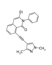 CCc1cc2cccc(C#Cc3cn(C)nc3C)c2c(=O)n1-c1ccccc1